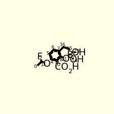 CC(F)Oc1ccc2c(c1C(=O)O)O[B-](O)(O)CC2